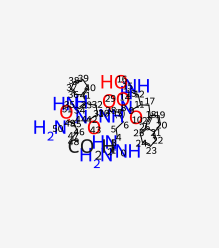 N=C(N)NCCC[C@H](NC(=O)C(CC(=O)NO)Cc1ccc2ccccc2c1)C(=O)NC(Cc1c[nH]c2ccccc12)C(=O)NC(CCC(=O)O)C(N)=O